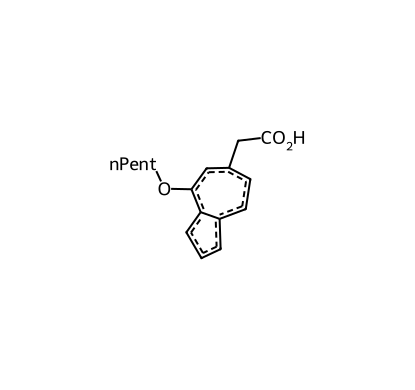 CCCCCOc1cc(CC(=O)O)ccc2cccc1-2